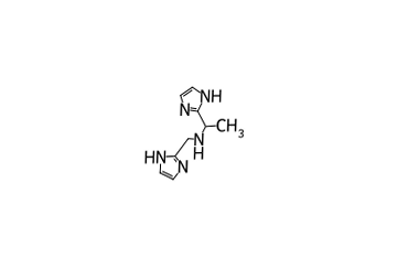 CC(NCc1ncc[nH]1)c1ncc[nH]1